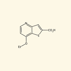 CCOc1ccnc2cc(C(=O)O)sc12